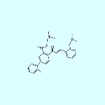 Cc1ccccc1-c1ccc(C(=O)C=Cc2ccccc2CN(C)C)c(N(C)CCN(C)C)c1